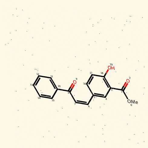 COC(=O)c1cc(/C=C\C(=O)c2ccccc2)ccc1O